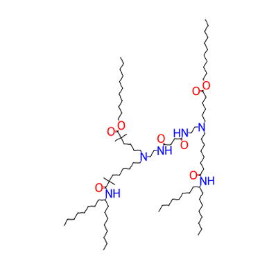 CCCCCCCCCCCOC(=O)CCCCCN(CCCCCCCC(=O)NC(CCCCCCCC)CCCCCCCC)CCNC(=O)CCC(=O)NCCN(CCCCCCC(C)(C)C(=O)NC(CCCCCCCC)CCCCCCCC)CCCCC(C)(C)C(=O)OCCCCCCCCCCC